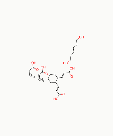 C=CC(=O)O.C=CC(=O)O.O=C(O)C=CC1CCCCC1C=CC(=O)O.OCCCCCCO